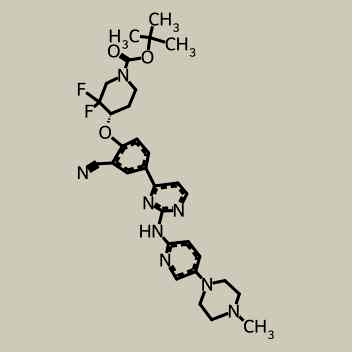 CN1CCN(c2ccc(Nc3nccc(-c4ccc(O[C@H]5CCN(C(=O)OC(C)(C)C)CC5(F)F)c(C#N)c4)n3)nc2)CC1